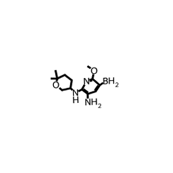 Bc1cc(N)c(NC2CCC(C)(C)OC2)nc1OC